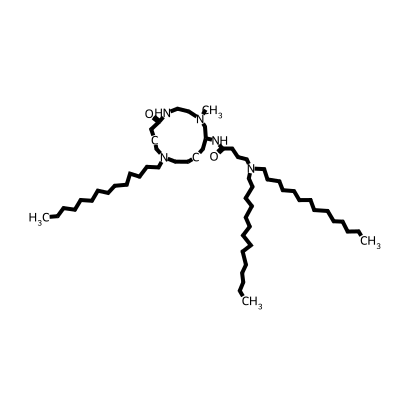 CCCCCCCCCCCCCCN1CCCCC(NC(=O)CCCN(CCCCCCCCCCCCCC)CCCCCCCCCCCCCC)CN(C)CCNC(=O)CCC1